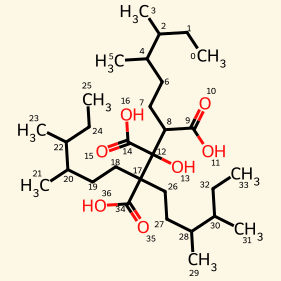 CCC(C)C(C)CCC(C(=O)O)C(O)(C(=O)O)C(CCC(C)C(C)CC)(CCC(C)C(C)CC)C(=O)O